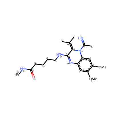 COc1cc2c(cc1OC)N(C(C)=N)C(=C(C)C)C(NCCCCC(=O)NC(C)C)=N2